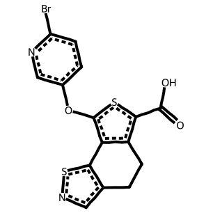 O=C(O)c1sc(Oc2ccc(Br)nc2)c2c1CCc1cnsc1-2